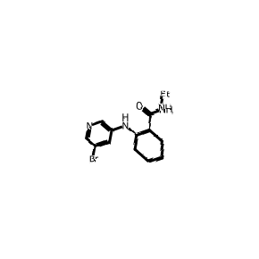 CCNC(=O)[C@H]1CCCC[C@H]1Nc1cncc(Br)c1